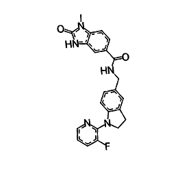 Cn1c(=O)[nH]c2cc(C(=O)NCc3ccc4c(c3)CCN4c3ncccc3F)ccc21